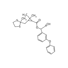 C#CC(OC(=O)C1C(CC2(C)SCCS2)C1(C)C)c1cccc(Oc2ccccc2)c1